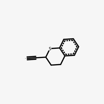 [C]#CC1CCc2ccccc2S1